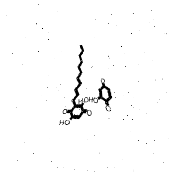 CCCCCCCCCCCC1=C(O)C(=O)C=C(O)C1=O.O=C1C=CC(=O)C(O)=C1